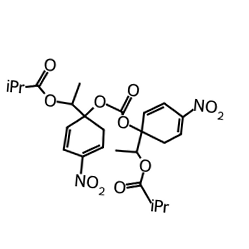 CC(C)C(=O)OC(C)C1(OC(=O)OC2(C(C)OC(=O)C(C)C)C=CC([N+](=O)[O-])=CC2)C=CC([N+](=O)[O-])=CC1